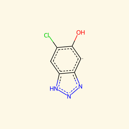 Oc1[c]c2nn[nH]c2cc1Cl